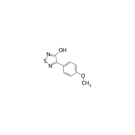 COc1ccc(-c2nsnc2O)cc1